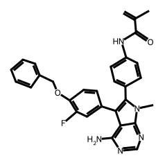 C=C(C)C(=O)Nc1ccc(-c2c(-c3ccc(OCc4ccccc4)c(F)c3)c3c(N)ncnc3n2C)cc1